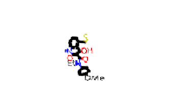 CCN(C(=O)c1c(O)c2c(C=S)cccc2n(C)c1=O)c1ccc(OC)cc1